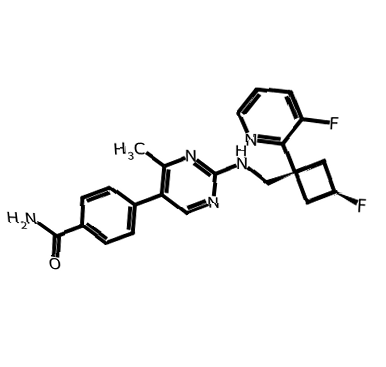 Cc1nc(NC[C@]2(c3ncccc3F)C[C@H](F)C2)ncc1-c1ccc(C(N)=O)cc1